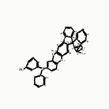 CCC(C)c1cccc(N(c2ccccc2)c2ccc3c(c2)Oc2cc4c(cc2O3)C2(c3ccccc3-4)c3ccccc3C3[C@@H]4CCC=CC342)c1